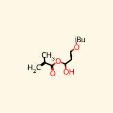 C=C(C)C(=O)OC(O)CCOC(C)CC